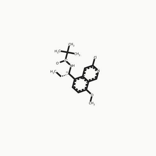 CC[C@H](N[S+]([O-])C(C)(C)C)c1ccc(OC)c2cnc(Cl)cc12